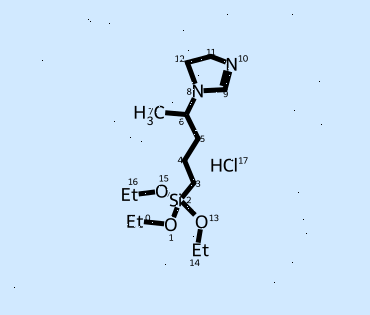 CCO[Si](CCCC(C)N1C=NCC1)(OCC)OCC.Cl